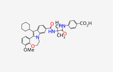 COc1cccc2c1OCCn1c-2c(C2CCCCC2)c2ccc(C(=O)NC(C)(C)C(=O)Nc3ccc(C(=O)O)cc3)cc21